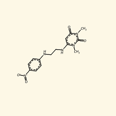 Cn1c(NCCNc2ccc([N+](=O)[O-])cc2)cc(=O)n(C)c1=O